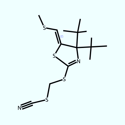 CS/C=C1\SC(SCSC#N)=NC1(C(C)(C)C)C(C)(C)C